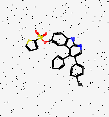 O=[N+]([O-])c1ccc(-c2cnc3[nH]c4ccc(OS(=O)(=O)c5cccs5)cc4c3c2-c2ccccc2)cc1